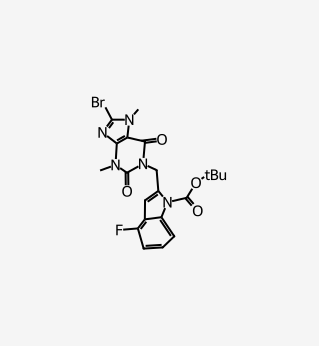 Cn1c(Br)nc2c1c(=O)n(Cc1cc3c(F)cccc3n1C(=O)OC(C)(C)C)c(=O)n2C